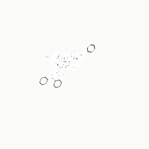 CC1(C)C(C(=O)OC(c2ccccc2)c2ccccc2)N2C(=O)[C@@H](NC(=O)COc3ccccc3)[C@H]2[S@@+]1[O-].O